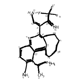 CC(=N)c1c(N)ccc2nc(/C(=C/N)C(=N)C(F)(F)F)c3c(c12)CCCC3